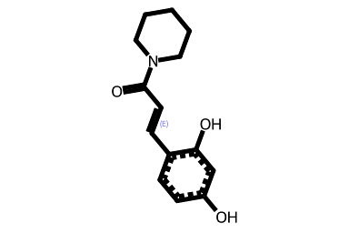 O=C(/C=C/c1ccc(O)cc1O)N1CCCCC1